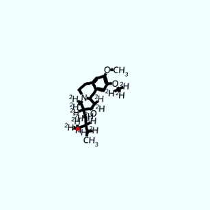 [2H]C([2H])([2H])Oc1cc2c(cc1OC)CCN1C2C([2H])([2H])C(=O)C([2H])(C([2H])([2H])C([2H])(C([2H])([2H])[2H])C([2H])([2H])C)C1([2H])[2H]